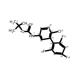 CC(C)(C)OC(=O)Nc1cnc(Cl)c(-c2c(F)cc(F)cc2F)c1